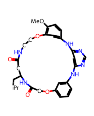 COc1ccc2cc1OCCNC(=O)CC(CC(C)C)NC(=O)COc1cccc(c1)Nc1cc(ncn1)N2